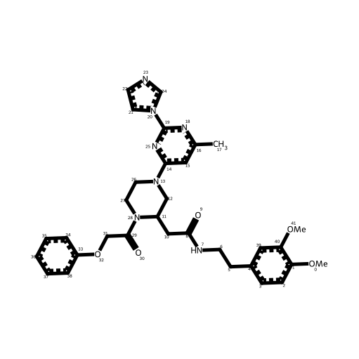 COc1ccc(CCNC(=O)CC2CN(c3cc(C)nc(-n4ccnc4)n3)CCN2C(=O)COc2ccccc2)cc1OC